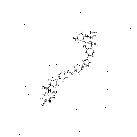 C[C@@H](Oc1cc(-c2cnn(C3CCN(CCC4CCN(c5ccc6c(c5)C(=O)N(C5CCC(=O)NC5=O)C6=O)CC4)CC3)c2)cnc1N)c1cc(F)ccc1-n1nccn1